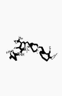 Cc1cc(Nc2nc(C[C@@]3(C(=O)O)CCN(Cc4cccc(Cl)c4F)[C@H](C)C3)cc(C(=O)C(C)(C)C)c2F)n[nH]1